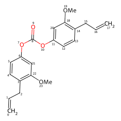 C=CCc1ccc(OC(=O)Oc2ccc(CC=C)c(OC)c2)cc1OC